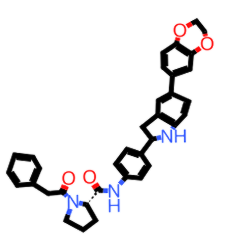 O=C(Nc1ccc(C2Cc3cc(-c4ccc5c(c4)OCCO5)ccc3N2)cc1)[C@@H]1CCCN1C(=O)Cc1ccccc1